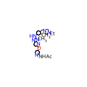 CCN1CCN(Cc2ccc(Nc3nc4ccc(Oc5ccnc(NC(C)=O)c5)nc4n3C)cc2C)CC1